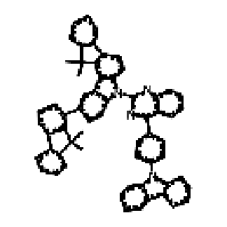 CC1(C)c2ccccc2-c2cccc(-c3ccc4c(c3)c3c5c(ccc3n4-c3nc(-c4ccc(-n6c7ccccc7c7ccccc76)cc4)c4ccccc4n3)-c3ccccc3C5(C)C)c21